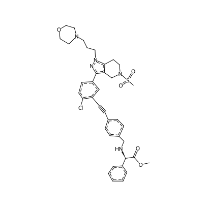 COC(=O)[C@H](NCc1ccc(C#Cc2cc(-c3nn(CCCN4CCOCC4)c4c3CN(S(C)(=O)=O)CC4)ccc2Cl)cc1)c1ccccc1